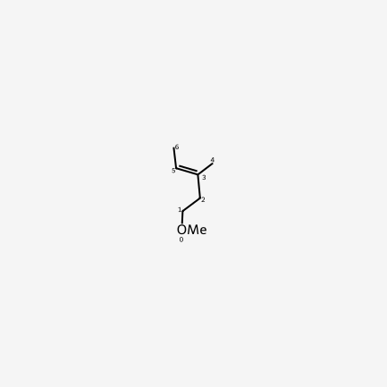 [CH2]OCCC(C)=CC